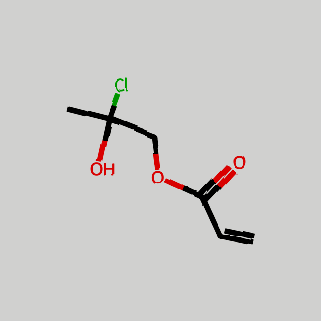 C=CC(=O)OCC(C)(O)Cl